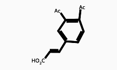 CC(=O)c1ccc(C=CC(=O)O)cc1C(C)=O